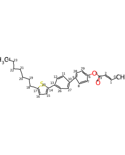 CC=CC(=O)Oc1ccc(-c2ccc(-c3ccc(CCCCCCC)s3)cc2)cc1